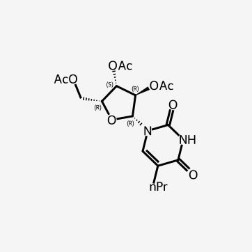 CCCc1cn([C@@H]2O[C@H](COC(C)=O)[C@H](OC(C)=O)[C@H]2OC(C)=O)c(=O)[nH]c1=O